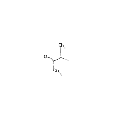 CC([O])C(C)I